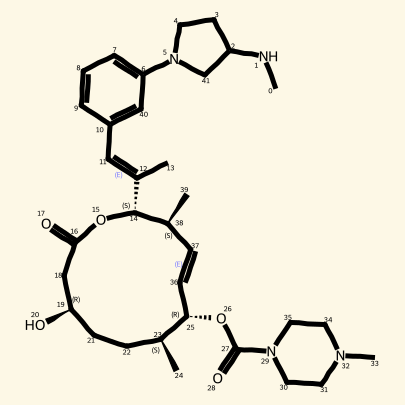 CNC1CCN(c2cccc(/C=C(\C)[C@H]3OC(=O)C[C@H](O)CC[C@H](C)[C@@H](OC(=O)N4CCN(C)CC4)/C=C/[C@@H]3C)c2)C1